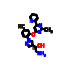 Cc1nc(Oc2cc(C#N)ccc2-n2cc([C@@H](O)CN)cn2)cc(-c2ccccn2)n1